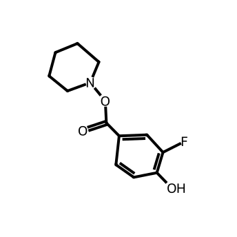 O=C(ON1CCCCC1)c1ccc(O)c(F)c1